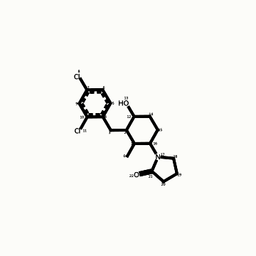 CC1C(Cc2ccc(Cl)cc2Cl)C(O)CCC1N1CCCC1=O